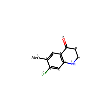 COc1cc2c(cc1Br)NCCC2=O